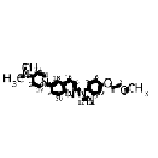 COCCOc1ccc2c(c1)ncn2-c1ccc2cc(N3CCC(N(C)C)CC3)ccc2n1